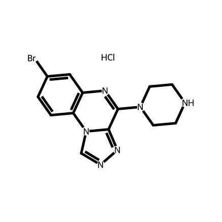 Brc1ccc2c(c1)nc(N1CCNCC1)c1nncn12.Cl